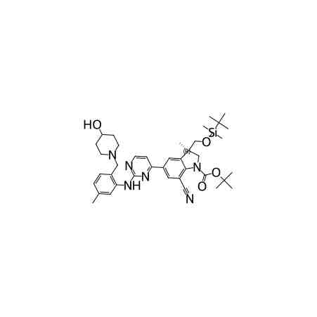 Cc1ccc(CN2CCC(O)CC2)c(Nc2nccc(-c3cc(C#N)c4c(c3)[C@@](C)(CO[Si](C)(C)C(C)(C)C)CN4C(=O)OC(C)(C)C)n2)c1